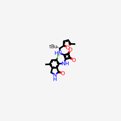 Cc1ccc([C@H](Nc2c(Nc3c(F)cc(C)c4c3C(=O)NC4)c(=O)c2=O)C(C)(C)C)o1